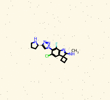 CNC1=Nc2c(cc(Cl)c(-n3cc([C@@H]4CCCN4)nn3)c2F)C12CCC2